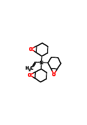 C=C[Si](C1CCCC2OC21)(C1CCCC2OC21)C1CCCC2OC21